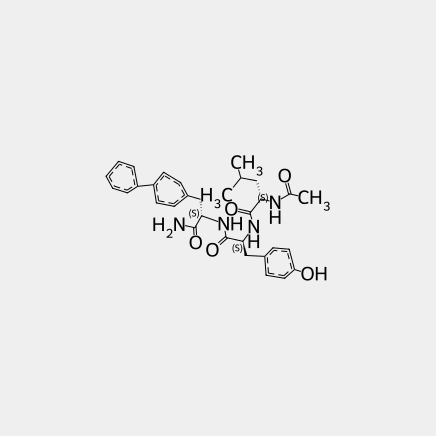 CC(=O)N[C@@H](CC(C)C)C(=O)N[C@@H](Cc1ccc(O)cc1)C(=O)N[C@@H](Cc1ccc(-c2ccccc2)cc1)C(N)=O